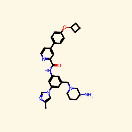 Cc1cn(-c2cc(CN3CCC[C@H](N)C3)cc(NC(=O)c3cc(-c4ccc(OC5CCC5)cc4)ccn3)c2)cn1